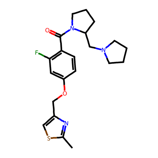 Cc1nc(COc2ccc(C(=O)N3CCCC3CN3CCCC3)c(F)c2)cs1